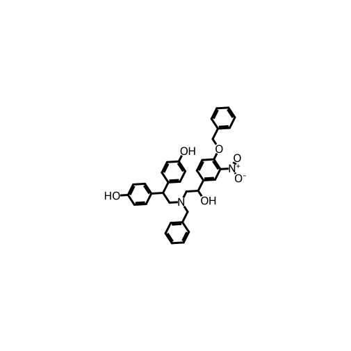 O=[N+]([O-])c1cc(C(O)CN(Cc2ccccc2)CC(c2ccc(O)cc2)c2ccc(O)cc2)ccc1OCc1ccccc1